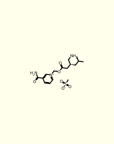 CC(C)C[C@H](CN)CC(=O)OC[n+]1cccc(C(N)=O)c1.CS(=O)(=O)[O-]